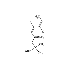 C=C(/C=C(F)\C(Cl)=C/C)CC(C)(C)NC